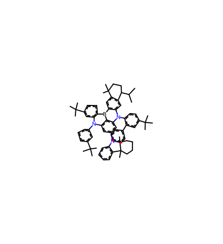 CC(C)C1CCC(C)(C)c2cc3c(cc21)N(c1ccc(C(C)(C)C)cc1-c1ccccc1)c1cc(N2c4ccccc4C4(C)CCCCC24C)cc2c1B3c1ccc(C(C)(C)C)cc1N2c1cccc(C(C)(C)C)c1